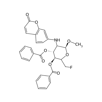 CO[C@H]1OC(CF)[C@@H](OC(=O)c2ccccc2)[C@H](OC(=O)c2ccccc2)C1Nc1ccc2ccc(=O)oc2c1